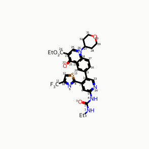 CCNC(=O)Nc1cc(-c2nc(C(F)(F)F)cs2)c(-c2ccc3c(c2)c(=O)c(C(=O)OCC)cn3C2CCOCC2)cn1